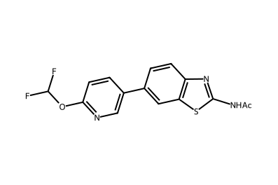 CC(=O)Nc1nc2ccc(-c3ccc(OC(F)F)nc3)cc2s1